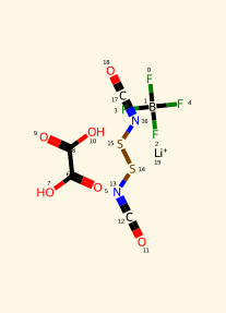 F[B-](F)(F)F.O=C(O)C(=O)O.O=C=NSSN=C=O.[Li+]